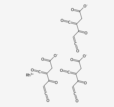 O=C=CC(=O)C(=C=O)CC(=O)[O-].O=C=CC(=O)C(=C=O)CC(=O)[O-].O=C=CC(=O)C(=C=O)CC(=O)[O-].[Rh+3]